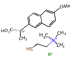 COc1ccc2cc([C@H](C)C(=O)O)ccc2c1.C[N+](C)(C)CCS.[Br-]